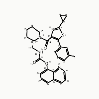 Cc1cccc(-c2sc(C3CC3)nc2C(=O)N2CCCC[C@H]2CNC(=O)Oc2cccc3cccnc23)c1